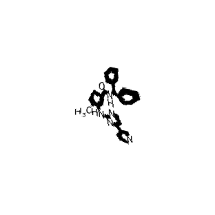 Cc1ccc(C(=O)NC(c2ccccc2)c2ccccc2)cc1Nc1nccc(-c2cccnc2)n1